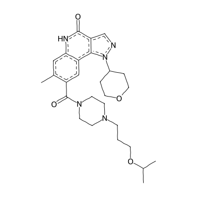 Cc1cc2[nH]c(=O)c3cnn(C4CCOCC4)c3c2cc1C(=O)N1CCN(CCCOC(C)C)CC1